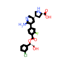 Nc1ncc([C@@H]2CN[C@H](C(=O)O)C2)cc1-c1ccc(C(=O)O[C@H](CO)c2cccc(Cl)c2)c(F)c1